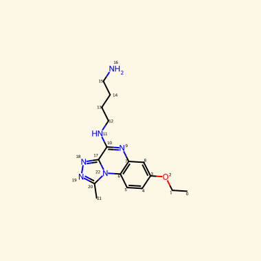 CCOc1ccc2c(c1)nc(NCCCCN)c1nnc(C)n12